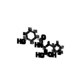 O=C(N[C@@H](Cc1ccsc1)B(O)O)[C@H]1CCC[C@@H](O)C1